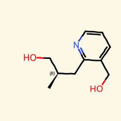 C[C@@H](CO)Cc1ncccc1CO